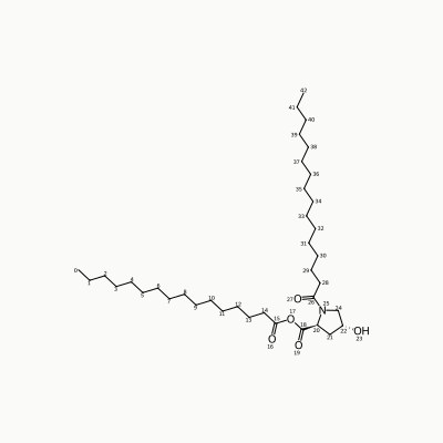 CCCCCCCCCCCCCCCC(=O)OC(=O)[C@@H]1C[C@@H](O)CN1C(=O)CCCCCCCCCCCCCCC